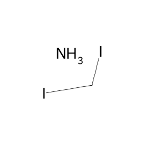 ICI.N